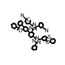 CC1(c2ccccc2)Oc2cc(-c3ccc(-c4nc(-c5ccccc5)nc(-c5ccc6c(c5)Oc5ccccc5S6)n4)cc3-c3nc(-c4ccc(C#N)cc4)nc(-c4cccc(C#N)c4)n3)ccc2-c2ccccc21